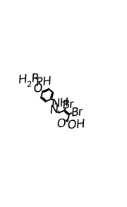 O=C(O)/C(Br)=C(Br)\C=N/Nc1ccc(OPP)cc1